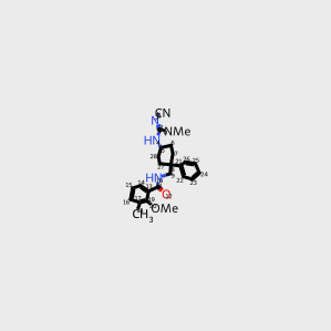 CN/C(=N\C#N)NC1CCC(CNC(=O)c2cccc(C)c2OC)(c2ccccc2)CC1